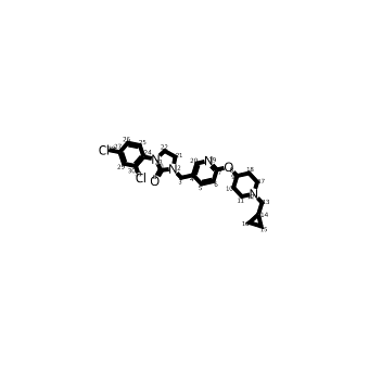 O=C1N(Cc2ccc(OC3CCN(CC4CC4)CC3)nc2)CCN1c1ccc(Cl)cc1Cl